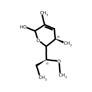 CC[C@H](OC)C1OC(O)C(C)=C[C@H]1C